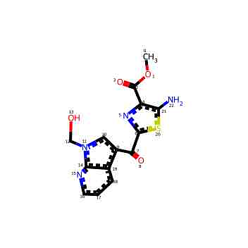 COC(=O)c1nc(C(=O)c2cn(CO)c3ncccc23)sc1N